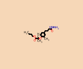 CCCCOC(=O)C(C)(C)Oc1ccc(CCCC(=O)NN)cc1C